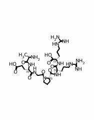 C[C@H](N)C(=O)N[C@@H](CCC(=O)O)C(=O)NCC(=O)N1CCC[C@H]1C(=O)N[C@@H](CCCNC(=N)N)C(=O)N[C@@H](CCCNC(=N)N)C(=O)O